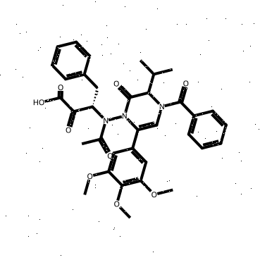 COc1cc(C2=CN(C(=O)c3ccccc3)C(C(C)C)C(=O)N2N(C(C)=O)[C@@H](Cc2ccccc2)C(=O)C(=O)O)cc(OC)c1OC